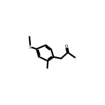 CSc1ccc(CC(C)=O)c(C)c1